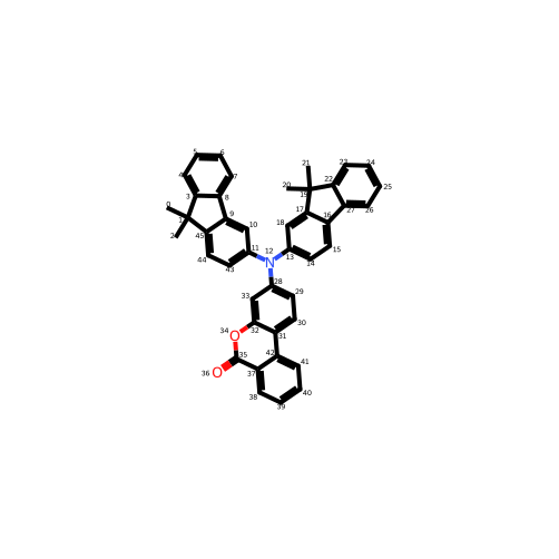 CC1(C)c2ccccc2-c2cc(N(c3ccc4c(c3)C(C)(C)c3ccccc3-4)c3ccc4c(c3)oc(=O)c3ccccc34)ccc21